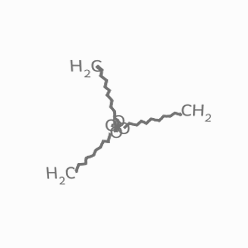 C=CCCCCCCCCCOP(=O)(OCCCCCCCCCC=C)OCCCCCCCCCC=C